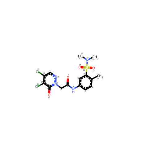 Cc1ccc(NC(=O)Cn2ncc(Cl)c(Cl)c2=O)cc1S(=O)(=O)N(C)C